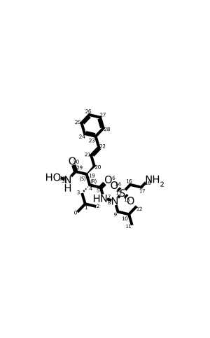 CC(C)C[C@@H](C(=O)NN(CC(C)C)S(=O)(=O)CCN)[C@H](CC=Cc1ccccc1)C(=O)NO